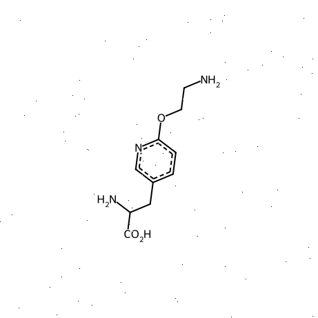 NCCOc1ccc(CC(N)C(=O)O)cn1